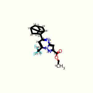 CCOC(=O)c1cc2nc(C3C4CC5CC(C4)CC3C5)cc(C(F)(F)F)n2n1